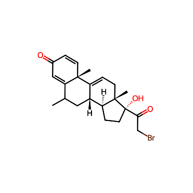 CC1C[C@@H]2C(=CC[C@@]3(C)[C@H]2CC[C@]3(O)C(=O)CBr)[C@@]2(C)C=CC(=O)C=C12